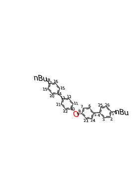 CCCCc1ccc(-c2ccc(Oc3ccc(-c4ccc(CCCC)cc4)cc3)cc2)cc1